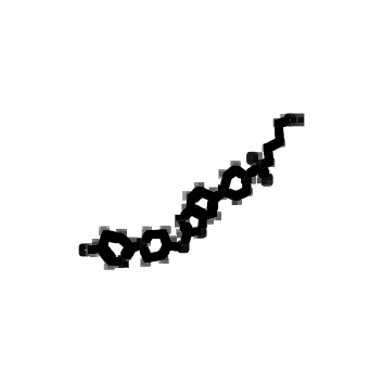 O=S(=O)(CCCCO)N1CCN(c2ccc3nc(OC4CCN(c5ccc(Cl)cn5)CC4)sc3c2)CC1